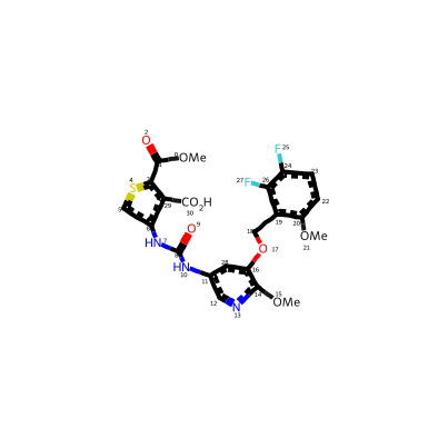 COC(=O)c1scc(NC(=O)Nc2cnc(OC)c(OCc3c(OC)ccc(F)c3F)c2)c1C(=O)O